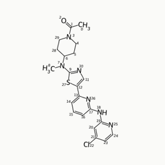 CC(=O)N1CCC(N(C)c2ncc(-c3cccc(Nc4cc(Cl)ccn4)n3)s2)CC1